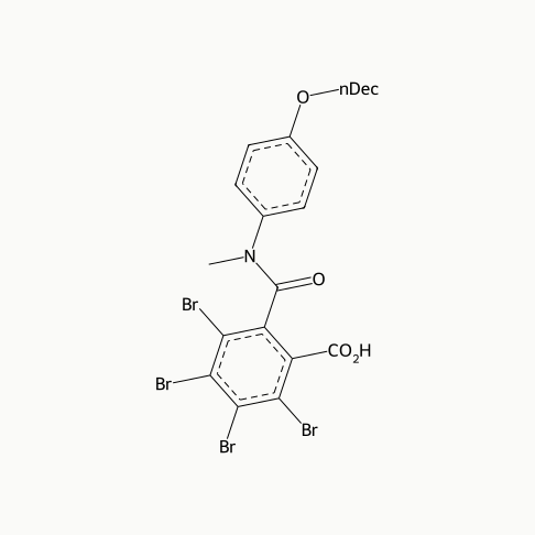 CCCCCCCCCCOc1ccc(N(C)C(=O)c2c(Br)c(Br)c(Br)c(Br)c2C(=O)O)cc1